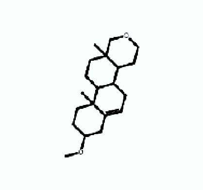 COC1CCC2(C)C(=CCC3C4CCOCC4(C)CCC32)C1